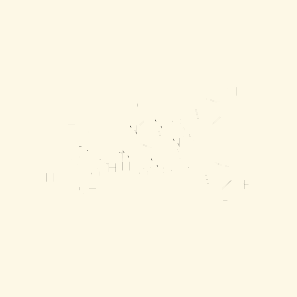 Cc1ccc(S(=O)(=O)N(c2nc(C)nc(N[C@@H]3C[C@H](O)[C@H]4OC(C)(C)O[C@H]43)c2[N+](=O)[O-])[C@@H]2C[C@H]2c2ccc(F)c(F)c2)cc1